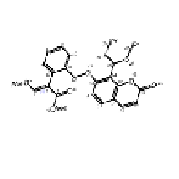 CO/C=C(/C(=O)OC)c1ccccc1COc1ccc2ccc(=O)oc2c1C(SC(C)C)SC(C)C